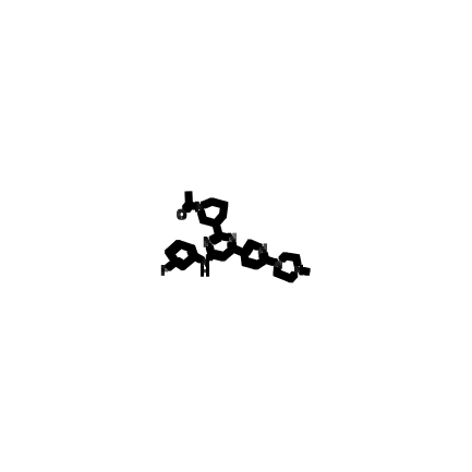 CC(=O)N1CCCC(c2nc(Nc3cccc(F)c3)cc(-c3ccc(N4CCN(C)CC4)nc3)n2)C1